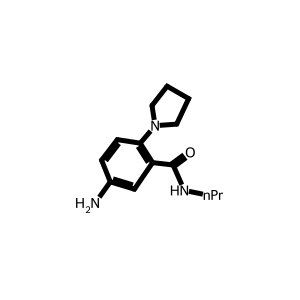 CCCNC(=O)c1cc(N)ccc1N1CCCC1